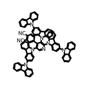 N#Cc1ccc(-c2c(-n3c4ccccc4c4cc(-n5c6ccccc6c6ccccc65)ccc43)cnc(-n3c4ccccc4c4cc(-n5c6ccccc6c6ccccc65)ccc43)c2-n2c3ccccc3c3cc(-n4c5ccccc5c5ccccc54)ccc32)cc1C#N